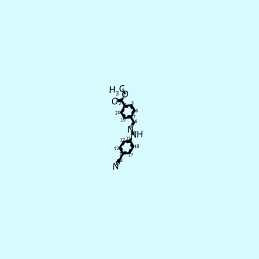 COC(=O)c1ccc(/C=N/Nc2ccc(C#N)cc2)cc1